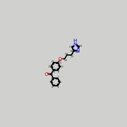 O=C(c1ccccc1)c1ccc(OCCCc2c[nH]cn2)cc1